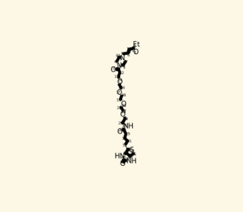 CCC(=O)/C=C/CN1CCN(C(=O)CCOCCOCCOCCOCCNC(=O)CCCC[C@@H]2SCC3NC(=O)NC32)CC1